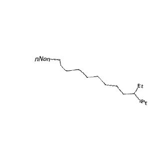 [CH2]C(C)C(CC)CCCCCCCCCCCCCCCCC